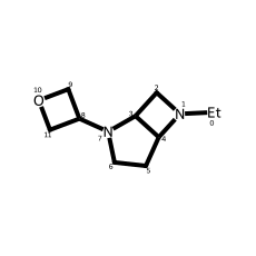 CCN1CC2C1CCN2C1COC1